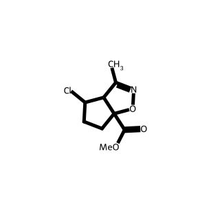 COC(=O)C12CCC(Cl)C1C(C)=NO2